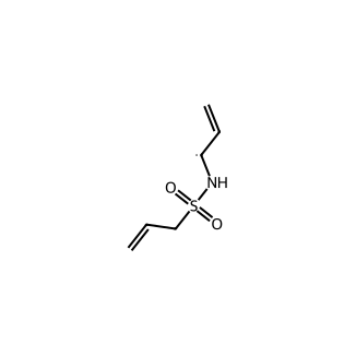 C=C[CH]NS(=O)(=O)CC=C